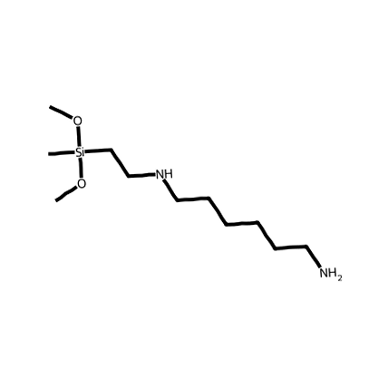 CO[Si](C)(CCNCCCCCCN)OC